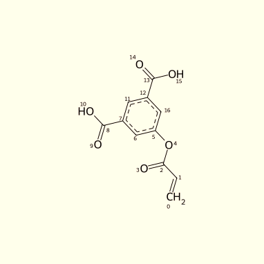 C=CC(=O)Oc1cc(C(=O)O)cc(C(=O)O)c1